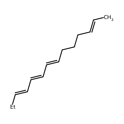 CC=CCCCC=CC=CC=CCC